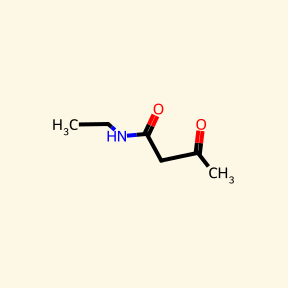 CCNC(=O)CC(C)=O